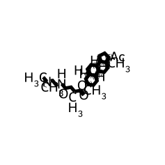 CC(=O)[C@H]1CC[C@H]2[C@@H]3CC[C@H]4C[C@](C)(OC(=O)C(C)CC(=O)NCCN(C)C)CC[C@]4(C)[C@H]3CC[C@]12C